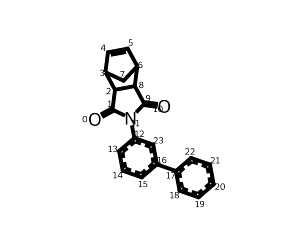 O=C1C2C3C=CC(C3)C2C(=O)N1c1cccc(-c2ccccc2)c1